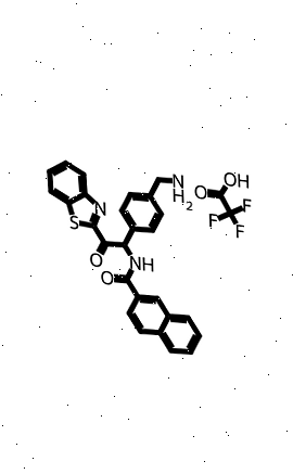 NCc1ccc(C(NC(=O)c2ccc3ccccc3c2)C(=O)c2nc3ccccc3s2)cc1.O=C(O)C(F)(F)F